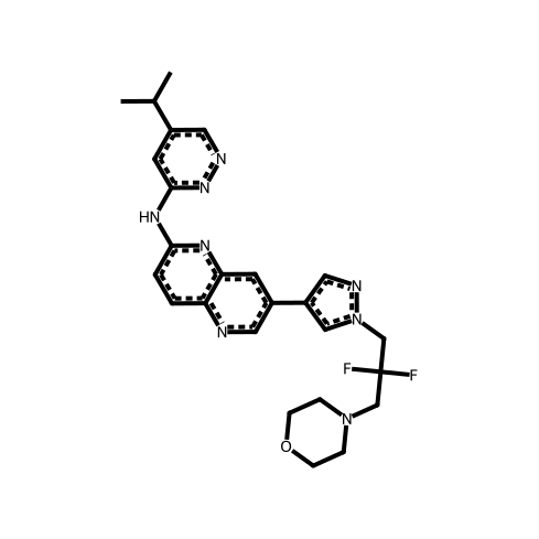 CC(C)c1cnnc(Nc2ccc3ncc(-c4cnn(CC(F)(F)CN5CCOCC5)c4)cc3n2)c1